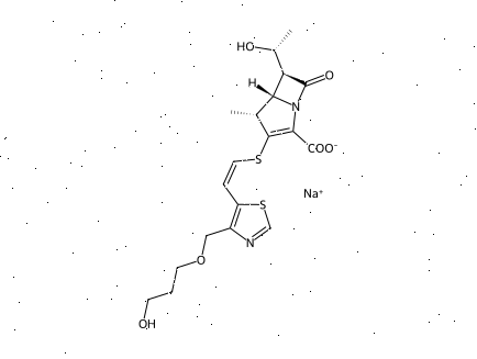 C[C@@H](O)[C@H]1C(=O)N2C(C(=O)[O-])=C(S/C=C\c3scnc3COCCCO)[C@H](C)[C@H]12.[Na+]